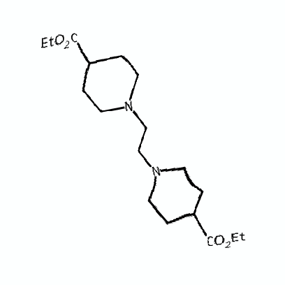 CCOC(=O)C1CCN(CCN2CCC(C(=O)OCC)CC2)CC1